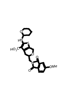 COc1ccc2c(c1)C(=O)N(CC1Cc3c(sc(NC4CCCCO4)c3C(=O)O)CO1)C2=O